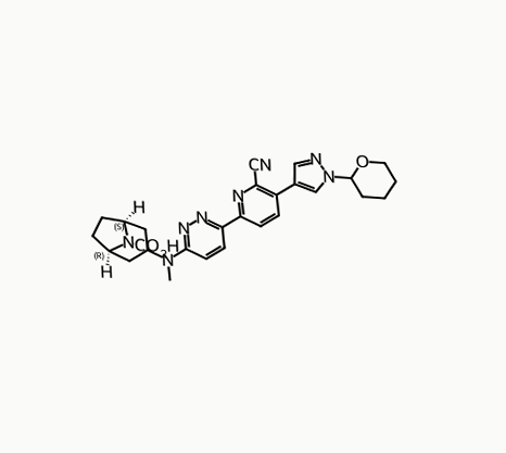 CN(c1ccc(-c2ccc(-c3cnn(C4CCCCO4)c3)c(C#N)n2)nn1)C1C[C@H]2CC[C@@H](C1)N2C(=O)O